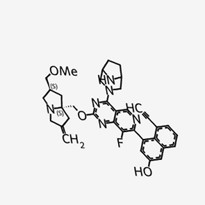 C#Cc1cccc2cc(O)cc(-c3ncc4c(N5CC6CCC(C5)N6)nc(OC[C@]56CC(=C)CN5C[C@@H](COC)C6)nc4c3F)c12